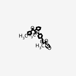 Cc1ccc(C(=O)c2c(C)n(-c3ccc(COC(C)C(=O)N4CCOCC4)cc3)c3ccccc23)cc1